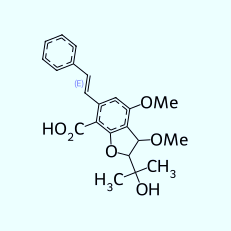 COc1cc(/C=C/c2ccccc2)c(C(=O)O)c2c1C(OC)C(C(C)(C)O)O2